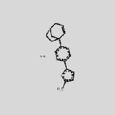 Br.Cc1ccc(-c2ccc(C34C=CCN(CC3)C4)cn2)s1